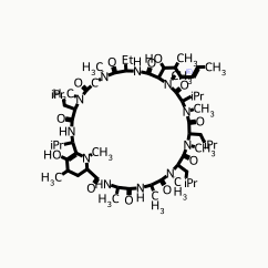 C/C=C/CC(C)C(O)C1C(=O)NC(CC)C(=O)N(C)CC(=O)N(C)C(CC(C)C)C(=O)NC(C(C)C)C2=C(O)C(C)CC(C(=O)NC(C)C(=O)NC(C)C(=O)N(C)C(CC(C)C)C(=O)N(C)C(CC(C)C)C(=O)N(C)C(C(C)C)C(=O)N1C)N2C